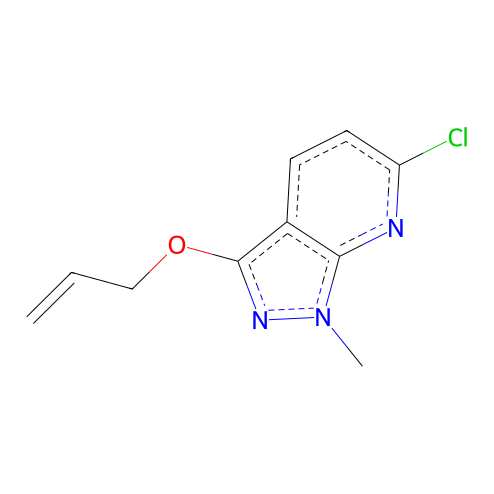 C=CCOc1nn(C)c2nc(Cl)ccc12